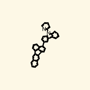 c1ccc(-n2c3ccccc3c3cc(-c4ccc5c6c(cccc46)-c4cc6ccccc6cc4-5)ccc32)nc1